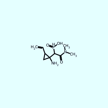 C=CC1CC1(N)C(C(=O)N(C)C)[PH](=O)O